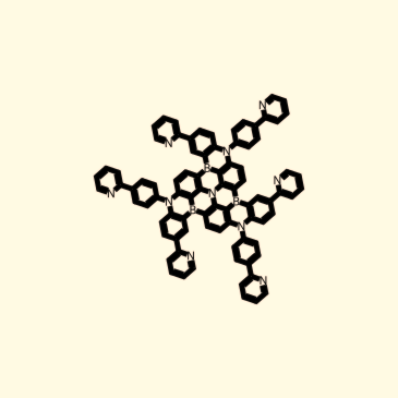 c1ccc(-c2ccc(N3c4ccc(-c5ccccn5)cc4B4c5ccc6c7c5N5c8c(ccc3c84)B3c4cc(-c8ccccn8)ccc4N(c4ccc(-c8ccccn8)cc4)c4ccc(c5c43)B7c3cc(-c4ccccn4)ccc3N6c3ccc(-c4ccccn4)cc3)cc2)nc1